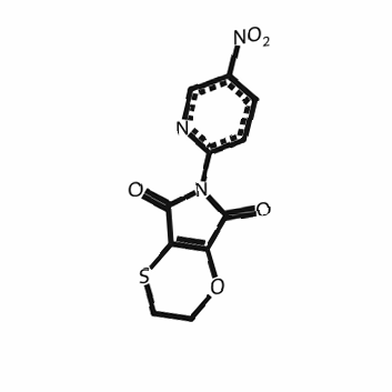 O=C1C2=C(SCCO2)C(=O)N1c1ccc([N+](=O)[O-])cn1